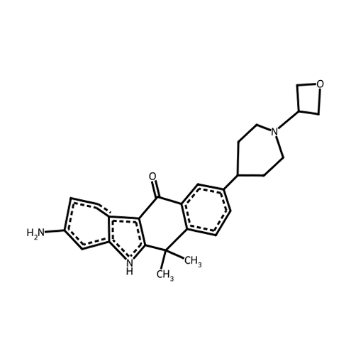 CC1(C)c2ccc(C3CCN(C4COC4)CC3)cc2C(=O)c2c1[nH]c1cc(N)ccc21